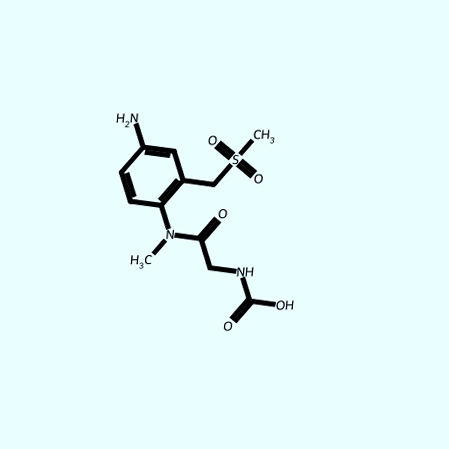 CN(C(=O)CNC(=O)O)c1ccc(N)cc1CS(C)(=O)=O